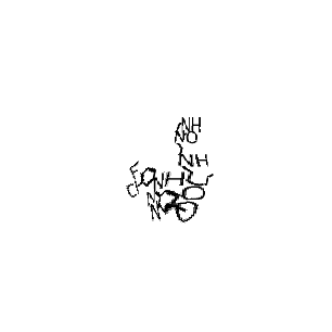 CCCC(CCCNCCCN1CCNC1=O)Oc1cc2c(Nc3ccc(F)c(Cl)c3)ncnc2cc1OC